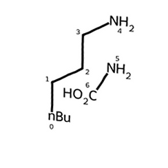 CCCCCCCN.NC(=O)O